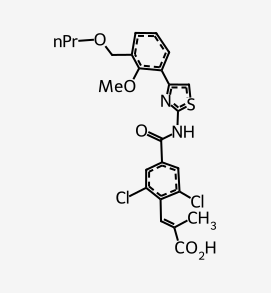 CCCOCc1cccc(-c2csc(NC(=O)c3cc(Cl)c(/C=C(\C)C(=O)O)c(Cl)c3)n2)c1OC